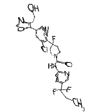 CCC(F)(F)c1ccc(NC(=O)N2CCC(F)(c3ncc(-c4ocnc4CO)cc3Cl)CC2)nc1